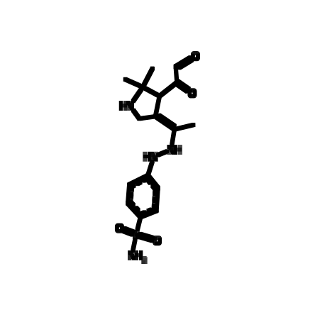 CC(NNc1ccc(S(N)(=O)=O)cc1)=C1CNC(C)(C)C1C(=O)C=O